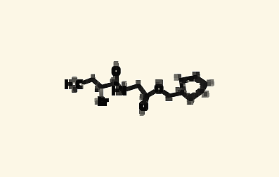 CCC(Br)C(=O)NCC(=O)OCc1ccccc1